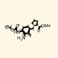 COC(=O)[C@H]1CCCN1Cc1ccc(NC(=O)OC(C)(C)C)c(N)c1F